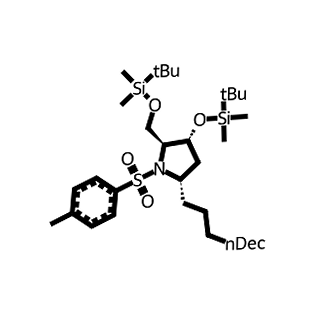 CCCCCCCCCCCCC[C@H]1C[C@@H](O[Si](C)(C)C(C)(C)C)[C@H](CO[Si](C)(C)C(C)(C)C)N1S(=O)(=O)c1ccc(C)cc1